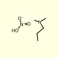 CCCN(C)C.O=[N+]([O-])O